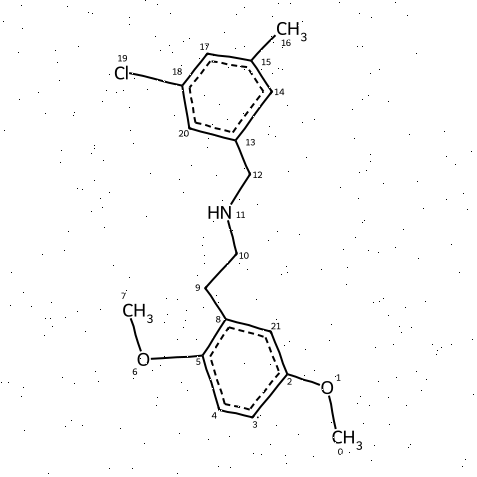 COc1[c]cc(OC)c(CCNCc2cc(C)cc(Cl)c2)c1